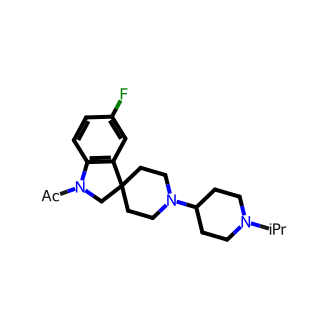 CC(=O)N1CC2(CCN(C3CCN(C(C)C)CC3)CC2)c2cc(F)ccc21